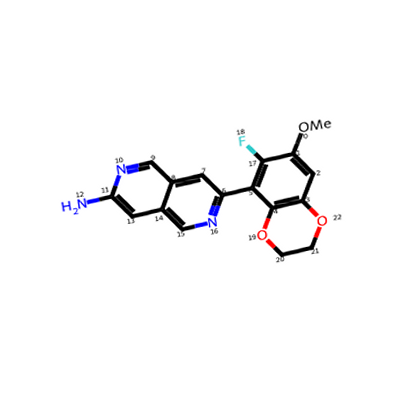 COc1cc2c(c(-c3cc4cnc(N)cc4cn3)c1F)OCCO2